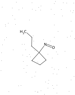 CCCC1(N=O)CCC1